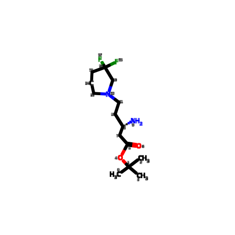 CC(C)(C)OC(=O)C[C@@H](N)CCN1CCCC(F)(F)C1